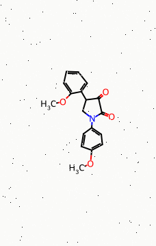 COc1ccc(N2CC(c3ccccc3OC)C(=O)C2=O)cc1